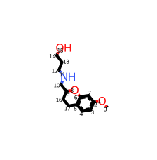 COc1ccc2c(c1)OC(CNCCCO)CC2